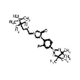 CC1(C)OB(c2ccc(N3CN(CCCC(C)(C)[Si](C)(C)O)CC3=O)c(F)c2)OC1(C)C